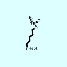 CCCCCCCCCCCCO[PH](=O)OCC